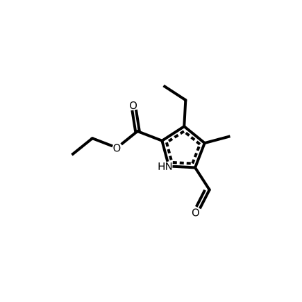 CCOC(=O)c1[nH]c(C=O)c(C)c1CC